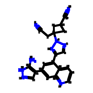 N#CCC1(n2ncc(-c3cc(-c4cn[nH]c4N)cc4ncccc34)n2)CC(C#N)C1